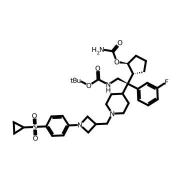 CC(C)(C)OC(=O)NC[C@@](c1cccc(F)c1)(C1CCN(CC2CN(c3ccc(S(=O)(=O)C4CC4)cc3)C2)CC1)[C@H]1CCC[C@@H]1OC(N)=O